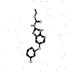 CCOC(=O)Nc1nc2cc(Oc3cccc(Cl)c3)cnc2[nH]1